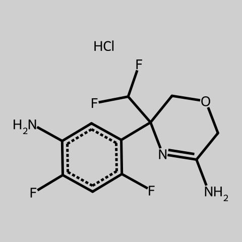 Cl.NC1=NC(c2cc(N)c(F)cc2F)(C(F)F)COC1